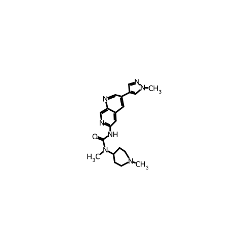 CN1CCC(N(C)C(=O)Nc2cc3cc(-c4cnn(C)c4)cnc3cn2)CC1